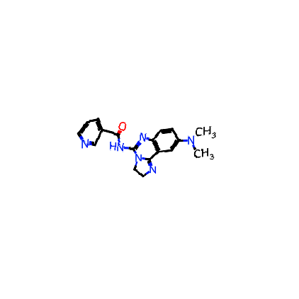 CN(C)c1ccc2c(c1)C1=NCCN1C(NC(=O)c1cccnc1)=N2